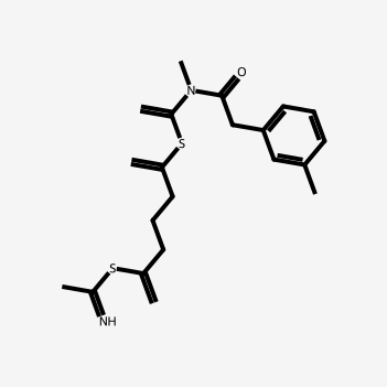 C=C(CCCC(=C)SC(C)=N)SC(=C)N(C)C(=O)Cc1cccc(C)c1